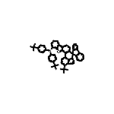 CC(C)(C)c1ccc(N(c2ccc(C(C)(C)C)cc2)c2cccc3c2oc2c4c(ccc23)C2(c3ccccc3-c3ccccc32)c2cccc3c(C(C)(C)C)ccc-4c23)cc1